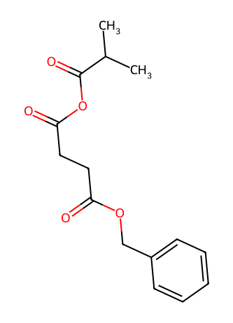 CC(C)C(=O)OC(=O)CCC(=O)OCc1ccccc1